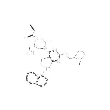 C=CC(=O)N1C[C@H](C)N(c2nc(OCC3CCCN3C)nc3c2CCN(c2cccc4ccccc24)C3)C[C@@H]1CC#N